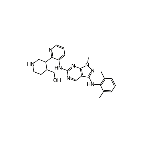 Cc1cccc(C)c1Nc1nn(C)c2nc(Nc3cccnc3C3CNCCC3CO)ncc12